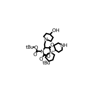 CC(C)(C)OC(=O)N(C(=O)OC(C)(C)C)C(CN1CCC(O)CC1)C(=O)[N+]1(C2CCNCC2)CCCCC1